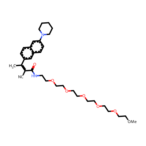 COCCOCCOCCOCCOCCOCCNC(=O)C(C#N)=C(C)c1ccc2cc(N3CCCCC3)ccc2c1